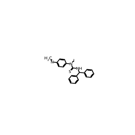 C=Nc1ccc(N(I)C(=S)NC(c2ccccc2)c2ccccc2)cc1